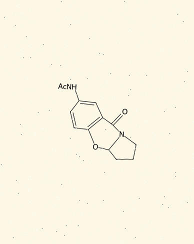 CC(=O)Nc1ccc2c(c1)C(=O)N1CCCC1O2